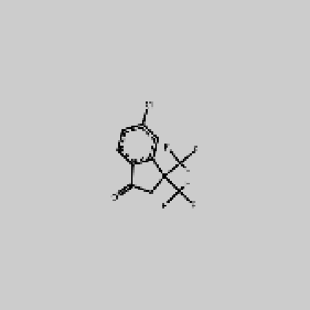 O=C1CC(C(F)(F)F)(C(F)(F)F)c2cc(Cl)ccc21